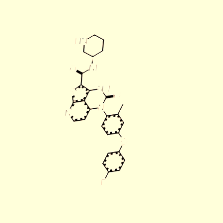 Cc1cc(Oc2ccc(F)cc2)ccc1N1C(=O)Nc2c(C(=O)N[C@@H]3CCCNC3)sc3nccc1c23